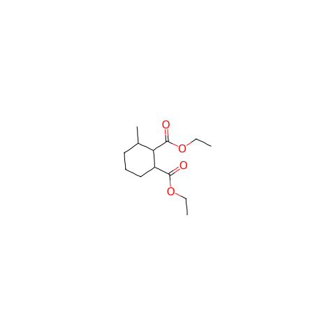 CCOC(=O)C1CCCC(C)C1C(=O)OCC